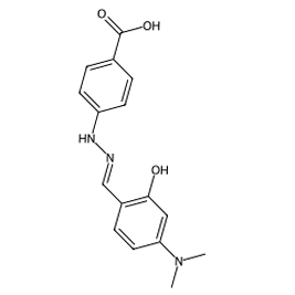 CN(C)c1ccc(/C=N/Nc2ccc(C(=O)O)cc2)c(O)c1